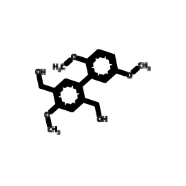 COc1ccc(OC)c(-c2cc(CO)c(OC)cc2CO)c1